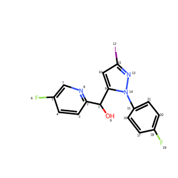 OC(c1ccc(F)cn1)c1cc(I)nn1-c1ccc(F)cc1